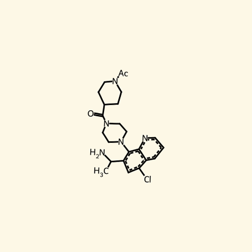 CC(=O)N1CCC(C(=O)N2CCN(c3c(C(C)N)cc(Cl)c4cccnc34)CC2)CC1